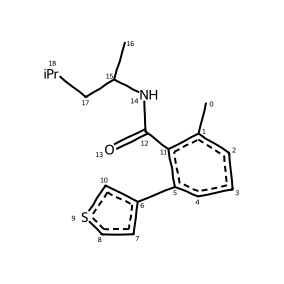 Cc1cccc(-c2ccsc2)c1C(=O)NC(C)CC(C)C